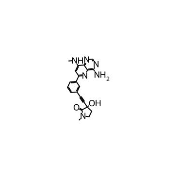 CNc1cc(-c2cccc(C#C[C@]3(O)CCN(C)C3=O)c2)nc2c(N)ncnc12